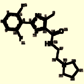 Cc1nc(-c2c(F)cccc2F)sc1C(=O)NCCN1CCCC1